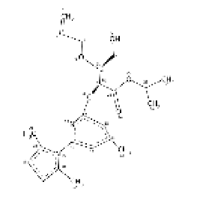 C=CCO[C@@H](CO)[C@H](Cc1cc(C)cc(-n2c(C)ccc2C)n1)C(=O)OC(C)C